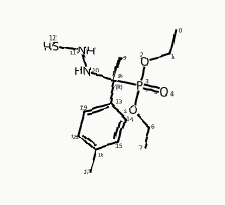 CCOP(=O)(OCC)[C@@](C)(NNS)c1ccc(C)cc1